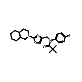 CC(C)(C)C(=O)N(Cc1csc(N2CCC3CCCCC3C2)n1)c1ccc(F)cc1